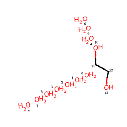 O.O.O.O.O.O.O.O.O.O.OCCO